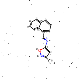 Cc1cc(/N=C/c2cccc3ccccc23)on1